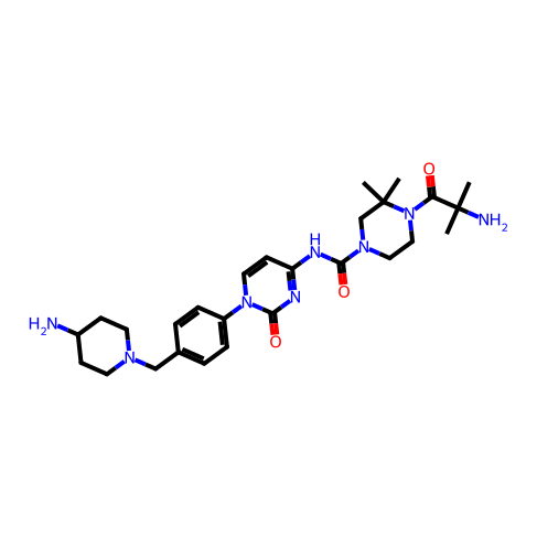 CC(C)(N)C(=O)N1CCN(C(=O)Nc2ccn(-c3ccc(CN4CCC(N)CC4)cc3)c(=O)n2)CC1(C)C